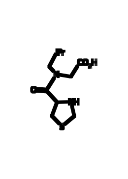 CC(C)CN(CC(=O)O)C(=O)C1CSCN1